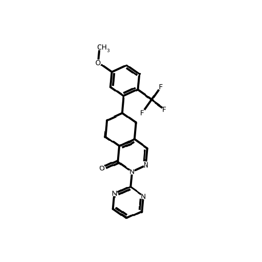 COc1ccc(C(F)(F)F)c(C2CCc3c(cnn(-c4ncccn4)c3=O)C2)c1